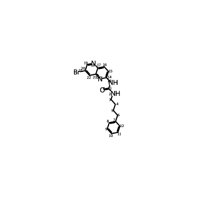 O=C(NCCCCc1ccccc1)Nc1ccc2ncc(Br)cc2n1